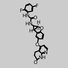 O=C1CCc2c(Oc3ccc4c(c3)[C@H]3C(NC(=O)Nc5cc(F)ccc5F)[C@H]3O4)ccnc2N1